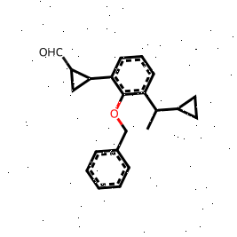 CC(c1cccc(C2CC2C=O)c1OCc1ccccc1)C1CC1